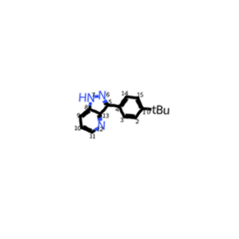 CC(C)(C)c1ccc(-c2n[nH]c3cccnc23)cc1